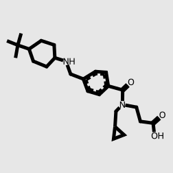 CC(C)(C)C1CCC(NCc2ccc(C(=O)N(CCC(=O)O)CC3CC3)cc2)CC1